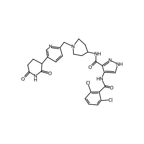 O=C1CCC(c2ccc(CN3CCC(NC(=O)c4n[nH]cc4NC(=O)c4c(Cl)cccc4Cl)CC3)nc2)C(=O)N1